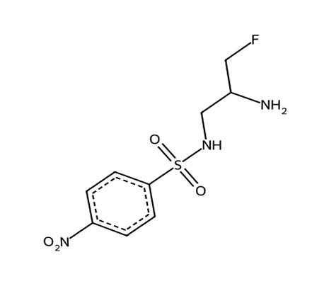 NC(CF)CNS(=O)(=O)c1ccc([N+](=O)[O-])cc1